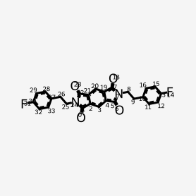 O=c1c2cc3c(=O)n(CCc4ccc(F)cc4)c(=O)c3cc2c(=O)n1CCc1ccc(F)cc1